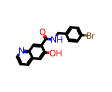 O=C(NCc1ccc(Br)cc1)c1cc2ncccc2cc1O